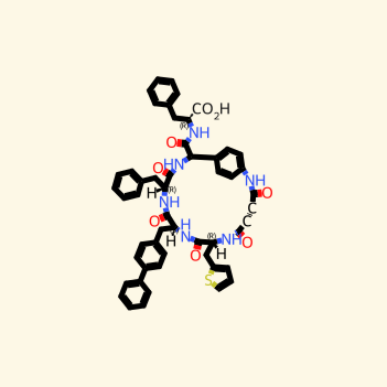 O=C1CCC(=O)N[C@H](Cc2cccs2)C(=O)N[C@@H](Cc2ccc(-c3ccccc3)cc2)C(=O)N[C@H](Cc2ccccc2)C(=O)NC(C(=O)N[C@H](Cc2ccccc2)C(=O)O)c2ccc(cc2)N1